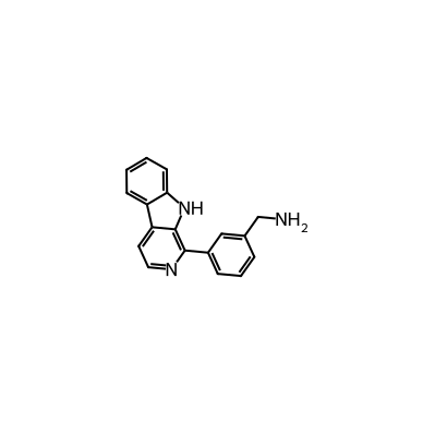 NCc1cccc(-c2nccc3c2[nH]c2ccccc23)c1